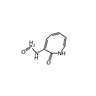 O=[PH2]N/C1=C/C=C\C=C/NC1=O